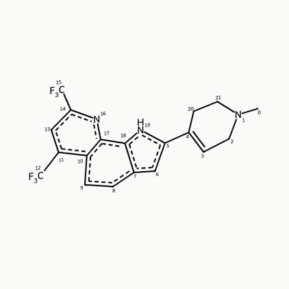 CN1CC=C(c2cc3ccc4c(C(F)(F)F)cc(C(F)(F)F)nc4c3[nH]2)CC1